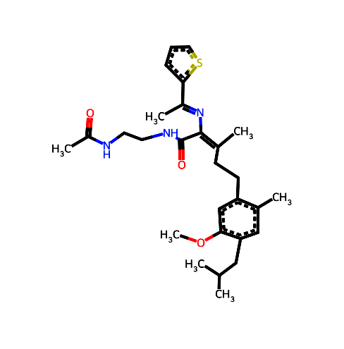 COc1cc(CC/C(C)=C(/N=C(\C)c2cccs2)C(=O)NCCNC(C)=O)c(C)cc1CC(C)C